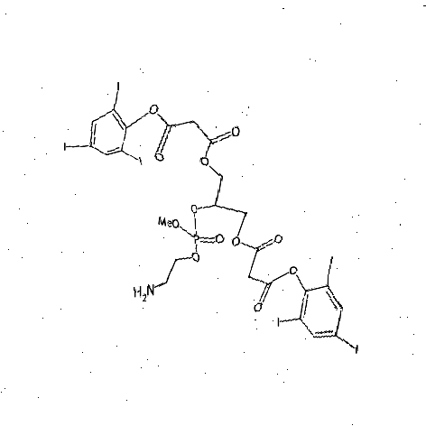 COP(=O)(OCCN)OC(COC(=O)CC(=O)Oc1c(I)cc(I)cc1I)COC(=O)CC(=O)Oc1c(I)cc(I)cc1I